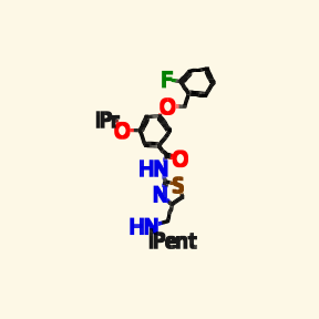 CCCC(C)NCC1CSC(NC(=O)c2cc(OCc3ccccc3F)cc(OC(C)C)c2)=N1